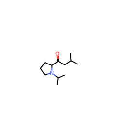 CC(C)CC(=O)C1CCCN1C(C)C